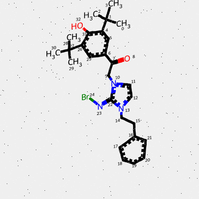 CC(C)(C)c1cc(C(=O)Cn2ccn(CCc3ccccc3)/c2=N/Br)cc(C(C)(C)C)c1O